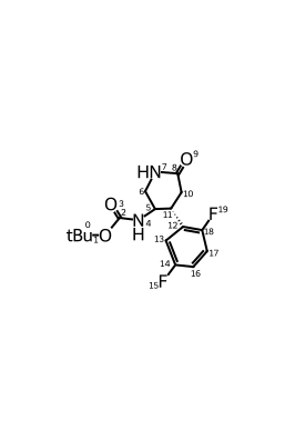 CC(C)(C)OC(=O)NC1CNC(=O)C[C@@H]1c1cc(F)ccc1F